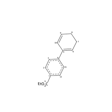 CCOC(=O)c1ccc(C2=CCCC=C2)cc1